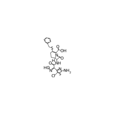 Nc1nc(/C(=N/O)C(=O)N[C@@H]2C(=O)N3C(C(=O)O)=C(SCc4ccccc4)CC[C@H]23)c(Cl)s1